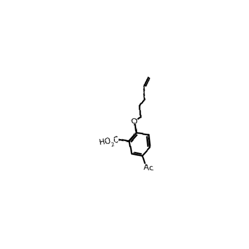 C=CCCCOc1ccc(C(C)=O)cc1C(=O)O